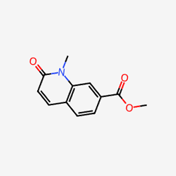 COC(=O)c1ccc2ccc(=O)n(C)c2c1